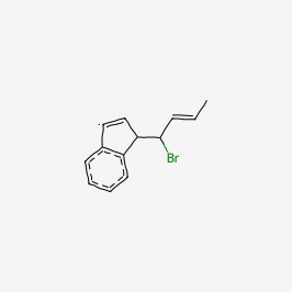 CC=CC(Br)C1C=[C]c2ccccc21